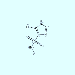 CNS(=O)(=O)c1nc[nH]c1Cl